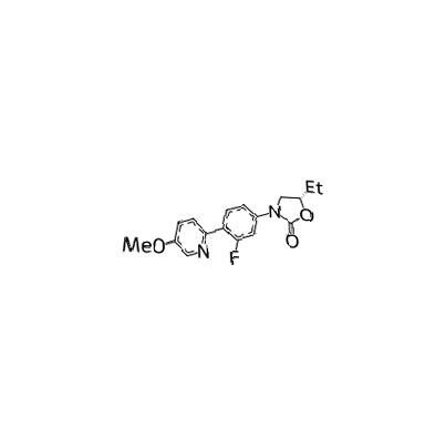 CC[C@H]1CN(c2ccc(-c3ccc(OC)cn3)c(F)c2)C(=O)O1